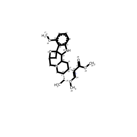 CC[C@@H]1CN2CC3CC4(O3)c3c(cccc3OC)NC4C2C[C@@H]1/C(=C\OC)C(=O)OC